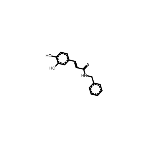 Oc1ccc(C=CC(=S)NCc2ccccc2)cc1O